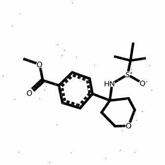 COC(=O)c1ccc(C2(N[S+]([O-])C(C)(C)C)CCOCC2)cc1